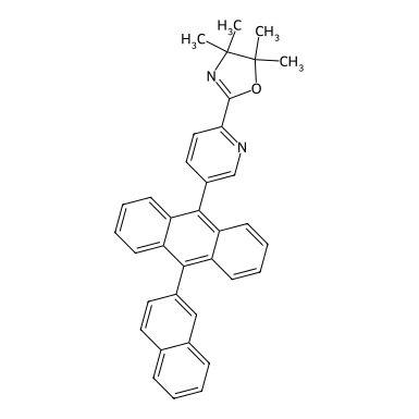 CC1(C)N=C(c2ccc(-c3c4ccccc4c(-c4ccc5ccccc5c4)c4ccccc34)cn2)OC1(C)C